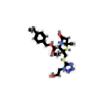 C[C@@]1(CSc2nnnn2CCO)S[C@H]2CC(=O)N2[C@H]1C(=O)OCc1ccc([N+](=O)[O-])cc1